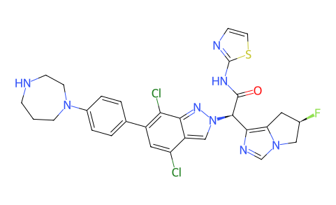 O=C(Nc1nccs1)[C@@H](c1ncn2c1C[C@@H](F)C2)n1cc2c(Cl)cc(-c3ccc(N4CCCNCC4)cc3)c(Cl)c2n1